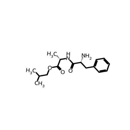 CC(C)COC(=O)[C@H](C)NC(=O)[C@H](N)Cc1ccccc1